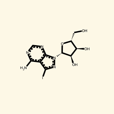 Nc1ncnc2c1c(I)nn2[C@@H]1O[C@H](CO)[C@@H](O)[C@H]1O